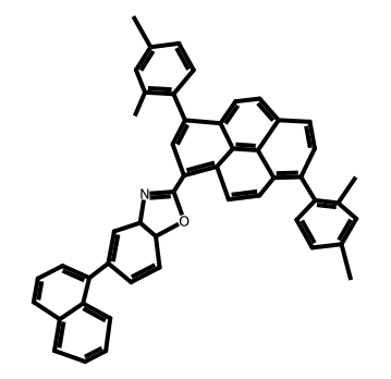 Cc1ccc(-c2ccc3ccc4c(-c5ccc(C)cc5C)cc(C5=NC6C=C(c7cccc8ccccc78)C=CC6O5)c5ccc2c3c54)c(C)c1